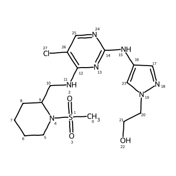 CS(=O)(=O)N1CCCCC1CNc1nc(Nc2cnn(CCO)c2)ncc1Cl